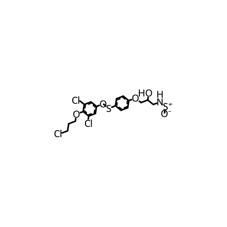 C[S+]([O-])NCC(O)COc1ccc(SOc2cc(Cl)c(OCCCCl)c(Cl)c2)cc1